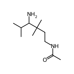 CC(=O)NCCC(C)(C)C(N)C(C)C